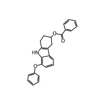 O=C(OC1CCc2[nH]c3c(Oc4ccccc4)cccc3c2C1)c1ccccc1